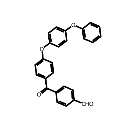 O=Cc1ccc(C(=O)c2ccc(Oc3ccc(Oc4ccccc4)cc3)cc2)cc1